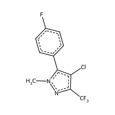 Cn1nc(C(F)(F)F)c(Cl)c1-c1ccc(F)cc1